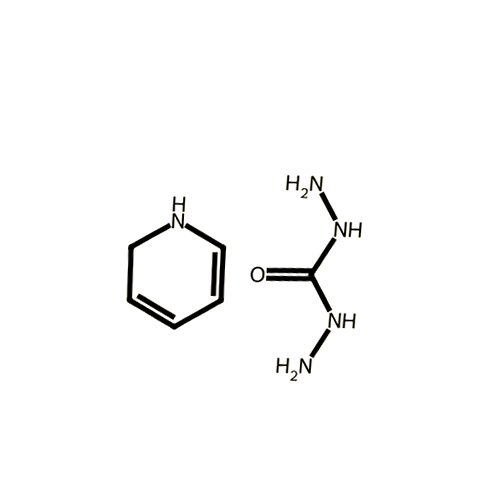 C1=CCNC=C1.NNC(=O)NN